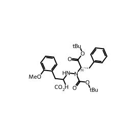 COc1ccccc1CC(NN(C(=O)OC(C)(C)C)[C@@H](Cc1ccccc1)C(=O)OC(C)(C)C)C(=O)O